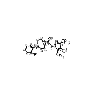 Cc1c(Cl)c(C(F)(F)F)nn1CC(=O)N1CCN(c2ccccc2F)CC1